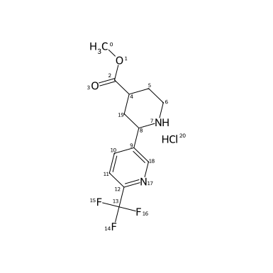 COC(=O)C1CCNC(c2ccc(C(F)(F)F)nc2)C1.Cl